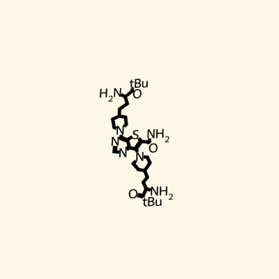 CC(C)(C)C(=O)C(N)CCC1CCN(c2c(C(N)=O)sc3c(N4CCC(CCC(N)C(=O)C(C)(C)C)CC4)ncnc23)CC1